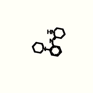 c1ccc(N2CCCCC2)c(/N=C2\CCCCN2)c1